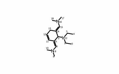 C[CH2][In]([CH2]C)[CH]1C(=CN(C)C)C=CCC1=CN(C)C